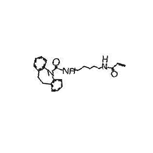 C=CC(=O)NCCCCCCNC(=O)N1c2ccccc2CCc2ccccc21